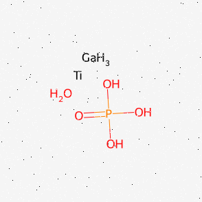 O.O=P(O)(O)O.[GaH3].[Ti]